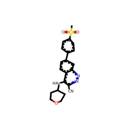 CS(=O)(=O)c1ccc(-c2ccc3c([AsH]C4CCOCC4)c(C#N)nnc3c2)cc1